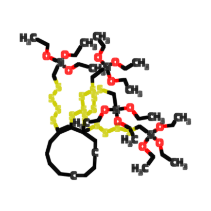 CCO[Si](CSSSSC1=C(SSSSC[Si](OCC)(OCC)OCC)C(SSSSC[Si](OCC)(OCC)OCC)(SSSSC[Si](OCC)(OCC)OCC)CCCCCCCCC1)(OCC)OCC